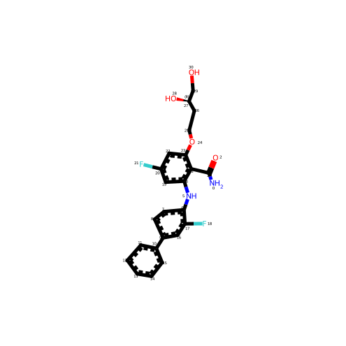 NC(=O)c1c(Nc2ccc(-c3ccccc3)cc2F)cc(F)cc1OCC[C@@H](O)CO